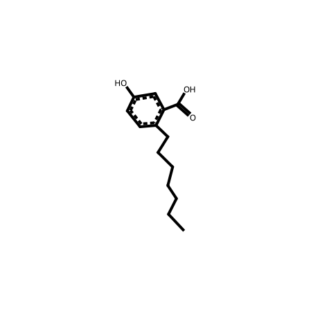 CCCCCCCc1ccc(O)cc1C(=O)O